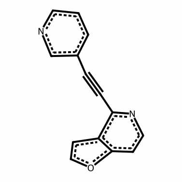 C(#Cc1nccc2occc12)c1cccnc1